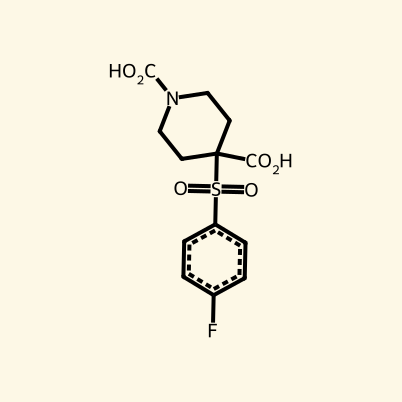 O=C(O)N1CCC(C(=O)O)(S(=O)(=O)c2ccc(F)cc2)CC1